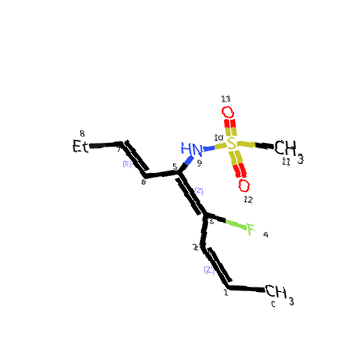 C\C=C/C(F)=C(\C=C\CC)NS(C)(=O)=O